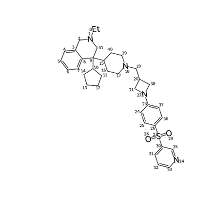 CCN1Cc2ccccc2C(C2CCCC2)(C2CCN(CC3CN(c4ccc(S(=O)(=O)c5cccnc5)cc4)C3)CC2)C1